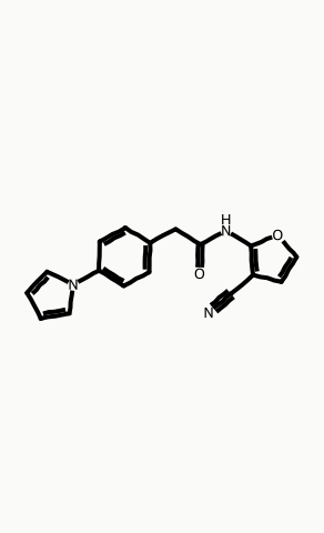 N#Cc1ccoc1NC(=O)Cc1ccc(-n2cccc2)cc1